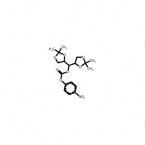 CC1(C)OCC(C(OC(=O)Oc2ccc([N+](=O)[O-])cc2)C2COC(C)(C)O2)O1